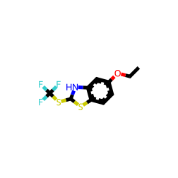 CCOc1ccc2c(c1)NC(SC(F)(F)F)S2